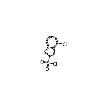 O=S(=O)(Cl)c1cc2c(Cl)cccc2s1